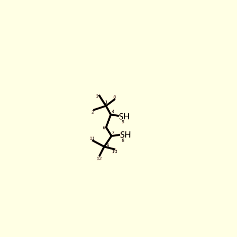 CC(C)(C)C(S)CC(S)C(C)(C)C